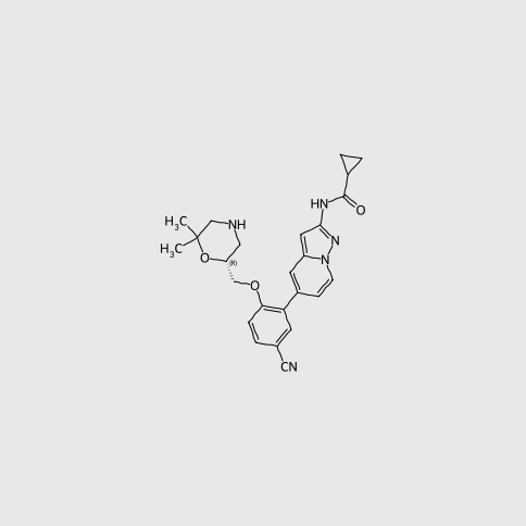 CC1(C)CNC[C@H](COc2ccc(C#N)cc2-c2ccn3nc(NC(=O)C4CC4)cc3c2)O1